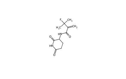 C=C(C(=O)NC1CCC(=O)NC1=O)C(C)(C)F